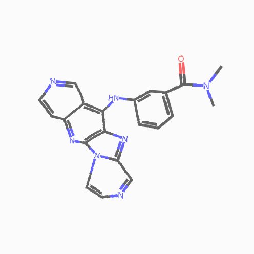 CN(C)C(=O)c1cccc(Nc2c3cnccc3nc3c2nc2cnccn23)c1